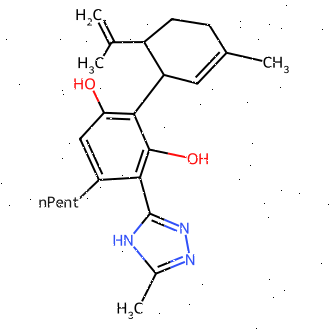 C=C(C)C1CCC(C)=CC1c1c(O)cc(CCCCC)c(-c2nnc(C)[nH]2)c1O